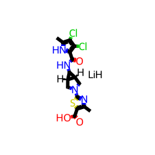 Cc1nc(N2C[C@@H]3C(NC(=O)c4[nH]c(C)c(Cl)c4Cl)[C@@H]3C2)sc1C(=O)O.[LiH]